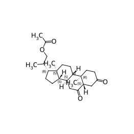 CC(=O)OCC(C)[C@H]1CC[C@H]2[C@@H]3CC(=O)[C@H]4CC(=O)CC[C@]4(C)[C@H]3CC[C@]12C